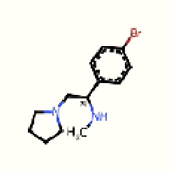 CN[C@@H](CN1CCCC1)c1ccc(Br)cc1